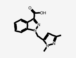 Cc1cc(Cn2nc(C(=O)O)c3ccccc32)n(C)n1